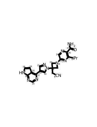 CC(C)c1nc(N2CC(CC#N)(n3cc(-c4ncnc5[nH]ccc45)cn3)C2)cnc1C(N)=O